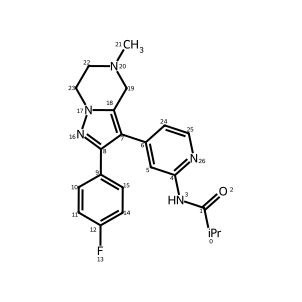 CC(C)C(=O)Nc1cc(-c2c(-c3ccc(F)cc3)nn3c2CN(C)CC3)ccn1